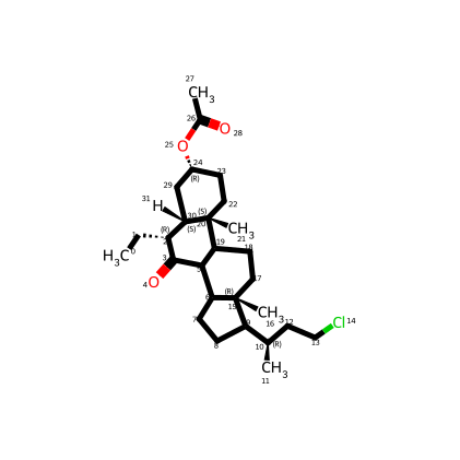 CC[C@H]1C(=O)C2C3CCC([C@H](C)CCCl)[C@@]3(C)CCC2[C@@]2(C)CC[C@@H](OC(C)=O)C[C@@H]12